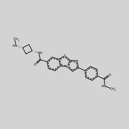 CNC(=O)c1ccc(-c2cn3c(n2)sc2cc(C(=O)N[C@H]4C[C@@H](NC)C4)ccc23)cc1